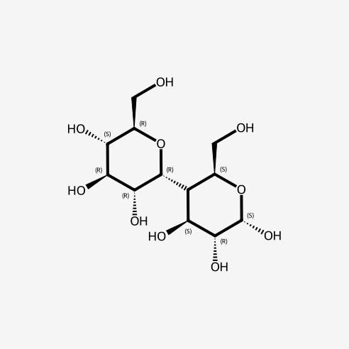 OC[C@H]1O[C@H](O)[C@H](O)[C@@H](O)C1[C@H]1O[C@H](CO)[C@@H](O)[C@H](O)[C@H]1O